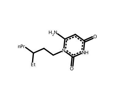 CCCC(CC)CCn1c(N)cc(=O)[nH]c1=O